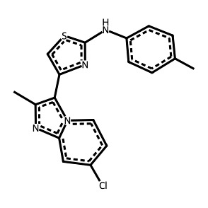 Cc1ccc(Nc2nc(-c3c(C)nc4cc(Cl)ccn34)cs2)cc1